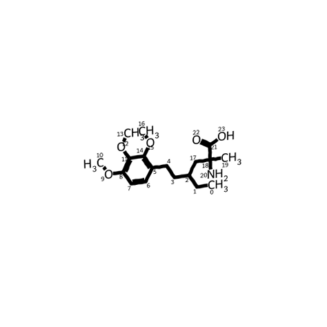 CCC(CCc1ccc(OC)c(OC)c1OC)CC(C)(N)C(=O)O